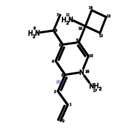 C=C/C=C1/C=C(C(C)N)C(C2(N)CCC2)=CN1N